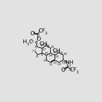 C[C@H](OC(=O)C(F)(F)F)[C@H]1CCC2C3CC=C4C[C@H](NC(=O)C(F)(F)F)CC[C@]4(C)C3CC[C@@]21C